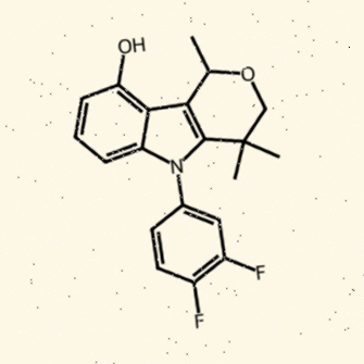 CC1OCC(C)(C)c2c1c1c(O)cccc1n2-c1ccc(F)c(F)c1